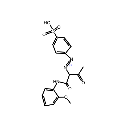 COc1ccccc1NC(=O)C(/N=N/c1ccc(S(=O)(=O)O)cc1)C(C)=O